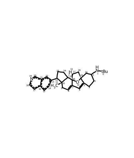 CC(C)(C)NC1CCC2=CC3=CC[C@]4(C)C(c5ccc6ccncc6c5)CC[C@H]4[C@@]34CC[C@]2(C1)O4